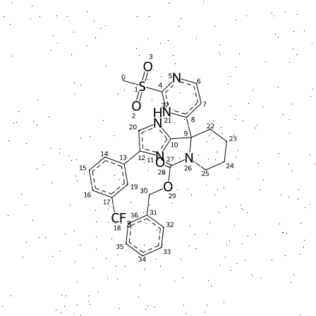 CS(=O)(=O)c1nccc(C2(c3nc(-c4cccc(C(F)(F)F)c4)c[nH]3)CCCCN2C(=O)OCc2ccccc2)n1